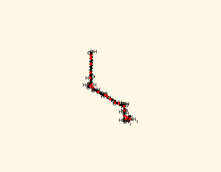 BN[C@@H](CCCCNC(=O)CC[C@H](NC(=O)CCCNC(=O)COCCOCCNC(=O)COCCOCCNC(=O)CC[C@H](NC(=O)CCCNC(=O)CCCCCCCCCCCCCCCCC(=O)O)C(=O)O)C(=O)O)C(=O)NC(CC)C(N)=O